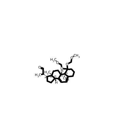 COCOC1(OCOC)CCCC2=CC=C3[C@@H]4CC[C@H](C(C)C=O)[C@@]4(C)CC[C@@H]3[C@]21C